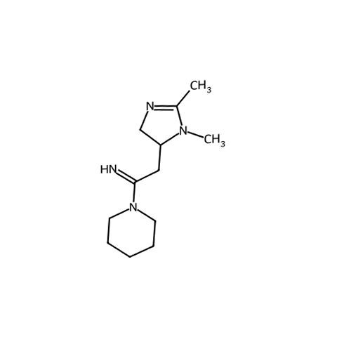 CC1=NCC(CC(=N)N2CCCCC2)N1C